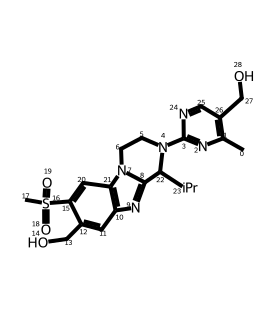 Cc1nc(N2CCn3c(nc4cc(CO)c(S(C)(=O)=O)cc43)C2C(C)C)ncc1CO